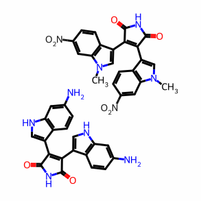 Cn1cc(C2=C(c3cn(C)c4cc([N+](=O)[O-])ccc34)C(=O)NC2=O)c2ccc([N+](=O)[O-])cc21.Nc1ccc2c(C3=C(c4c[nH]c5cc(N)ccc45)C(=O)NC3=O)c[nH]c2c1